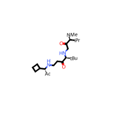 CN[C@H](C(=O)CN[C@H](C(=O)CCN[C@H](C(C)=O)C1CCC1)C(C)(C)C)C(C)C